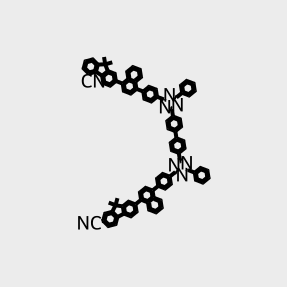 CC1(C)c2cc(C#N)ccc2-c2ccc(-c3ccc(-c4ccc(-c5nc(-c6ccccc6)nc(-c6ccc(-c7ccc(-c8nc(-c9ccccc9)nc(-c9ccc(-c%10ccc(-c%11ccc%12c(c%11)C(C)(C)c%11cccc(C#N)c%11-%12)c%11ccccc%10%11)cc9)n8)cc7)cc6)n5)cc4)c4ccccc34)cc21